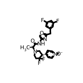 C[C@@H](C(=O)Nc1coc(Cc2cc(F)cc(F)c2)n1)N1CCC(F)(F)[C@@H](c2cc[n+]([O-])cc2)C1